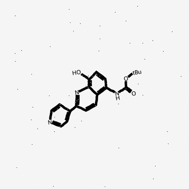 CC(C)(C)OC(=O)Nc1ccc(O)c2nc(-c3ccncc3)ccc12